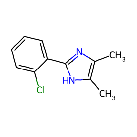 Cc1nc(-c2ccccc2Cl)[nH]c1C